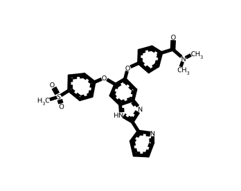 CN(C)C(=O)c1ccc(Oc2cc3nc(-c4ccccn4)[nH]c3cc2Oc2ccc(S(C)(=O)=O)cc2)cc1